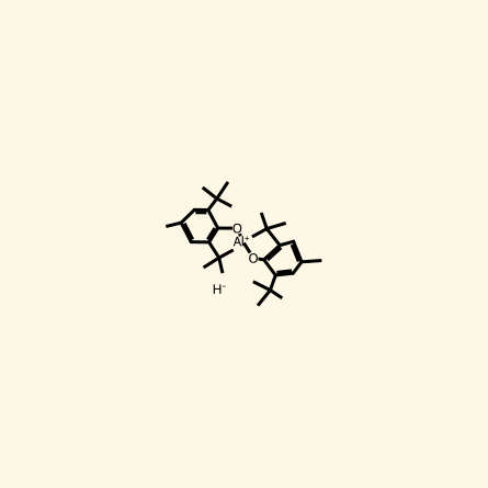 Cc1cc(C(C)(C)C)c([O][Al+][O]c2c(C(C)(C)C)cc(C)cc2C(C)(C)C)c(C(C)(C)C)c1.[H-]